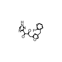 O=C(Cc1cc(Cc2ccccc2F)co1)C(=O)c1nc[nH]n1